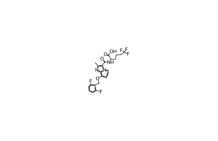 Cc1nc2c(OCc3c(F)cccc3F)cccn2c1C(=O)NC(CCCC(F)(F)F)C(=O)O